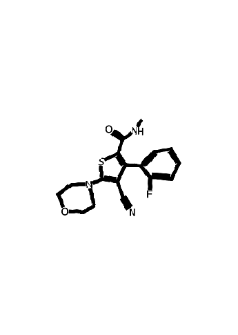 CNC(=O)c1sc(N2CCOCC2)c(C#N)c1-c1ccccc1F